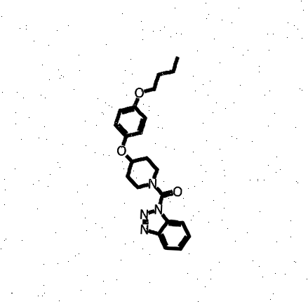 CCCCOc1ccc(OC2CCN(C(=O)n3nnc4ccccc43)CC2)cc1